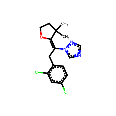 CC1(C)CCOC1=C(Cc1ccc(Cl)cc1Cl)n1cncn1